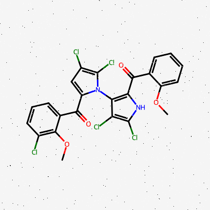 COc1ccccc1C(=O)c1[nH]c(Cl)c(Cl)c1-n1c(C(=O)c2cccc(Cl)c2OC)cc(Cl)c1Cl